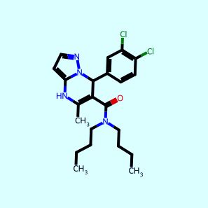 CCCCN(CCCC)C(=O)C1=C(C)Nc2ccnn2C1c1ccc(Cl)c(Cl)c1